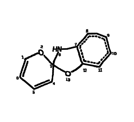 C1=COC2(C=C1)Nc1ccccc1O2